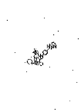 C[C@H]1CC[C@H](C(=O)N(Cc2cscn2)c2nn(-c3ccc(-c4cc5ncccn5n4)cc3)cc2C(=O)O)CC1